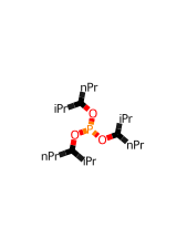 CCCC(OP(OC(CCC)C(C)C)OC(CCC)C(C)C)C(C)C